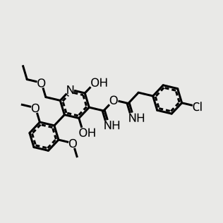 CCOCc1nc(O)c(C(=N)OC(=N)Cc2ccc(Cl)cc2)c(O)c1-c1c(OC)cccc1OC